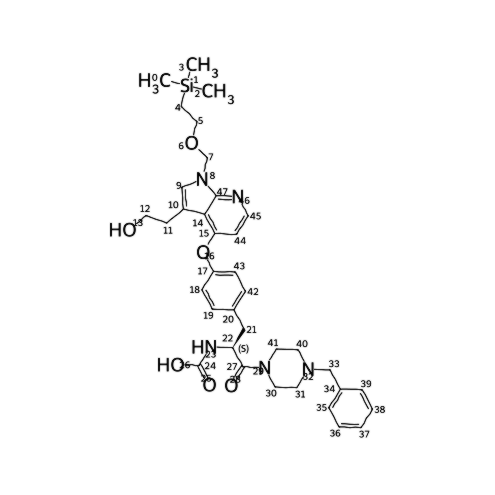 C[Si](C)(C)CCOCn1cc(CCO)c2c(Oc3ccc(C[C@H](NC(=O)O)C(=O)N4CCN(Cc5ccccc5)CC4)cc3)ccnc21